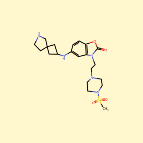 CS(=O)(=O)N1CCN(CCn2c(=O)oc3ccc(NC4CC5(CCNC5)C4)cc32)CC1